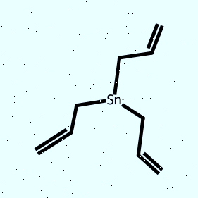 C=C[CH2][Sn]([CH2]C=C)[CH2]C=C